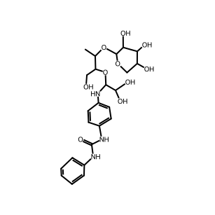 CC(OC1OCC(O)C(O)C1O)C(CO)OC(Nc1ccc(NC(=O)Nc2ccccc2)cc1)C(O)O